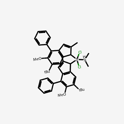 COc1c(C(C)(C)C)cc2c(c1-c1ccccc1)C=C(C)[CH]2[Zr]([Cl])([Cl])([CH]1C(C)=Cc2c1cc(C(C)(C)C)c(OC)c2-c1ccccc1)[SiH](C)C